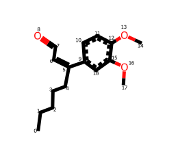 CCCCC/C(=C/C=O)c1ccc(OC)c(OC)c1